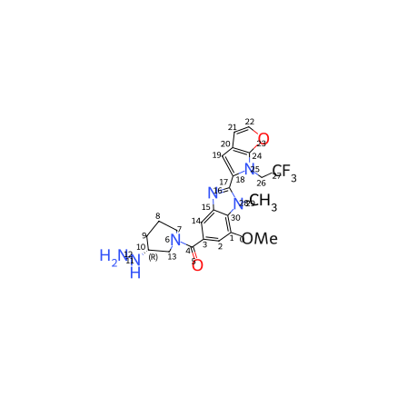 COc1cc(C(=O)N2CCC[C@@H](NN)C2)cc2nc(-c3cc4ccoc4n3CC(F)(F)F)n(C)c12